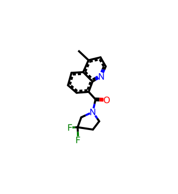 Cc1ccnc2c(C(=O)N3CCC(F)(F)C3)cccc12